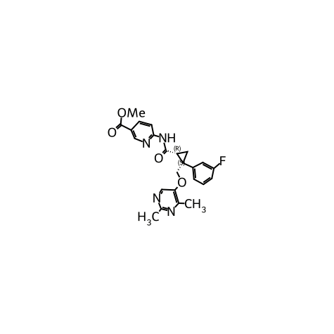 COC(=O)c1ccc(NC(=O)[C@@H]2C[C@@]2(COc2cnc(C)nc2C)c2cccc(F)c2)nc1